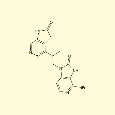 CC(C)c1nccc2c1[nH]c(=O)n2CC(C)c1nncc2c1CC(=O)N2